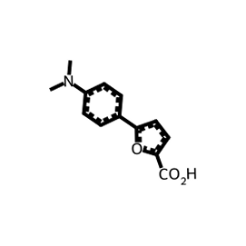 CN(C)c1ccc(-c2ccc(C(=O)O)o2)cc1